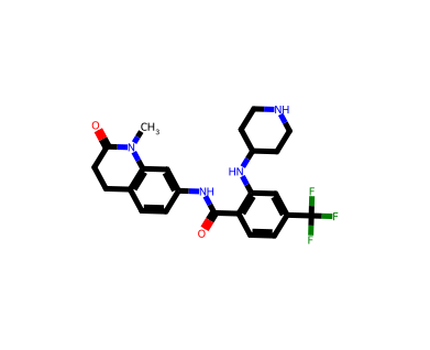 CN1C(=O)CCc2ccc(NC(=O)c3ccc(C(F)(F)F)cc3NC3CCNCC3)cc21